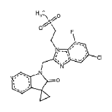 CS(=O)(=O)CCn1c(CN2C(=O)C3(CC3)c3ccncc32)nc2cc(Cl)cc(F)c21